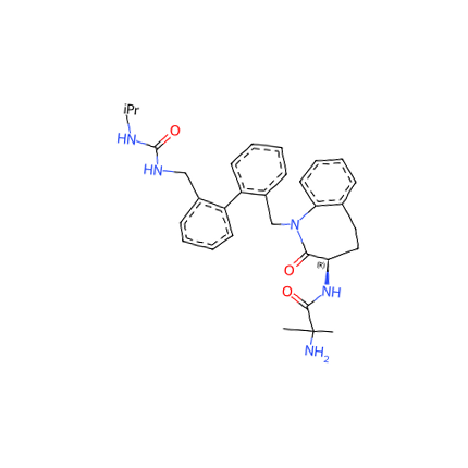 CC(C)NC(=O)NCc1ccccc1-c1ccccc1CN1C(=O)[C@H](NC(=O)C(C)(C)N)CCc2ccccc21